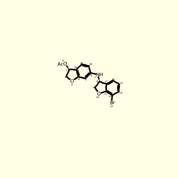 CC(=O)O[C@@H]1COc2cc(N[C@@H]3COc4c(Br)cccc43)ccc21